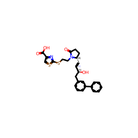 O=C(O)c1csc(SCCN2C(=O)CC[C@@H]2/C=C/[C@@H](O)Cc2cccc(-c3ccccc3)c2)n1